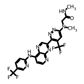 CNC(=O)CN(C)c1cc(C(F)(F)F)c(-c2cnc3c(Nc4ccc(C(F)(F)F)cn4)ccnc3n2)nn1